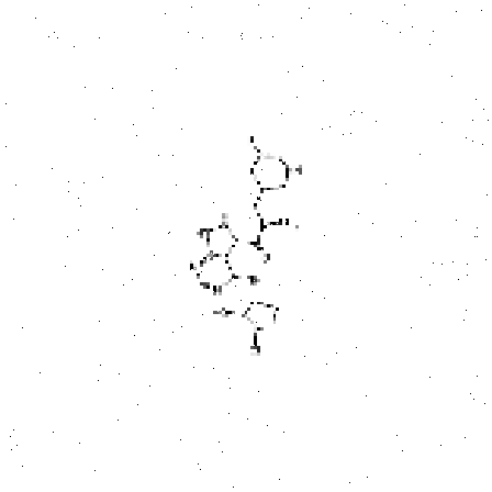 CN(CC1CNC=C(F)C1)C(=O)C1NNC2=NC=NC(N[C@@H]3CC[C@@H](O)[C@H]3O)C21